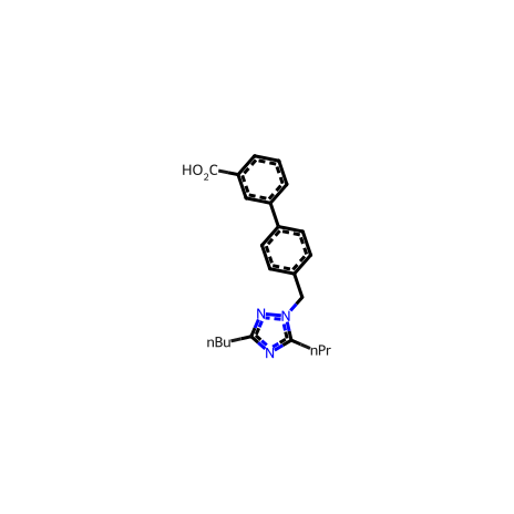 CCCCc1nc(CCC)n(Cc2ccc(-c3cccc(C(=O)O)c3)cc2)n1